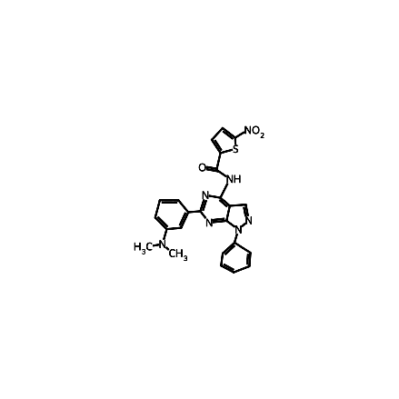 CN(C)c1cccc(-c2nc(NC(=O)c3ccc([N+](=O)[O-])s3)c3cnn(-c4ccccc4)c3n2)c1